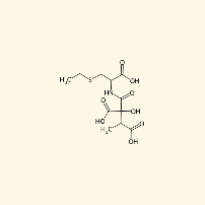 CCSCC(NC(=O)C(O)(C(=O)O)C(C)C(=O)O)C(=O)O